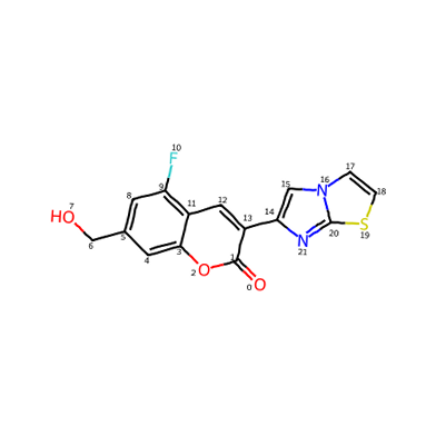 O=c1oc2cc(CO)cc(F)c2cc1-c1cn2ccsc2n1